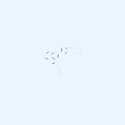 C[Si](C)(C)CCNC(=O)c1cc(-c2ccc(CN3CC[Si](C)(C)CC3)cc2)nc2ccc(F)cc12